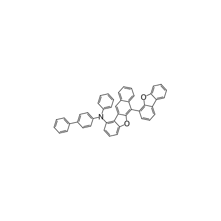 c1ccc(-c2ccc(N(c3ccccc3)c3cccc4oc5c(-c6cccc7c6oc6ccccc67)c6ccccc6cc5c34)cc2)cc1